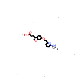 CNc1cccc(CCOc2ccc3c(CCC(=O)O)coc3c2)n1